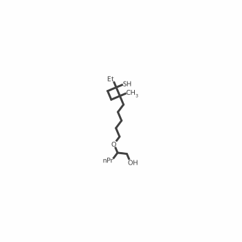 CCCC(CO)OCCCCCC1(C)CCC1(S)CC